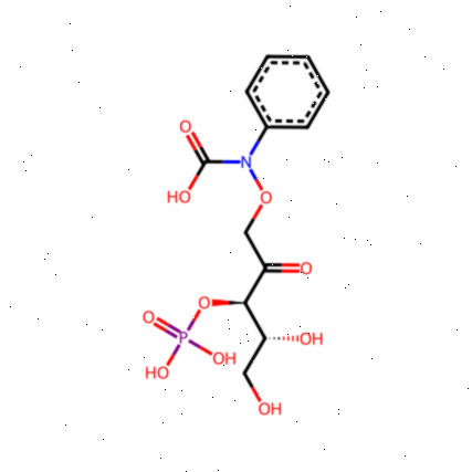 O=C(CON(C(=O)O)c1ccccc1)[C@H](OP(=O)(O)O)[C@H](O)CO